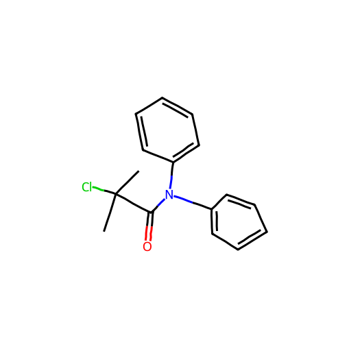 CC(C)(Cl)C(=O)N(c1ccccc1)c1ccccc1